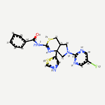 O=C(NC1=NC2(c3cncs3)CN(c3ncc(F)cn3)CC2CS1)c1ccccc1